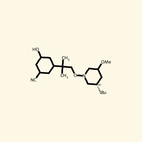 COC1C[C@H](C(C)(C)C)CN(OCC(C)(C)C2CC(O)CC(C#N)C2)C1